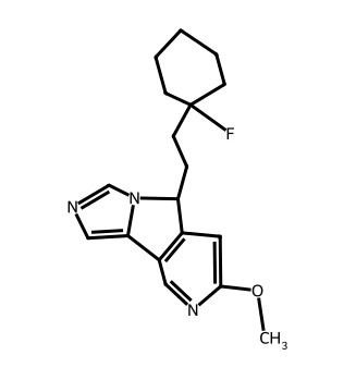 COc1cc2c(cn1)-c1cncn1C2CCC1(F)CCCCC1